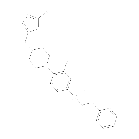 CC(=O)Nc1ncc(CN2CCN(c3ccc(S(O)(O)NCc4ccccn4)cc3[N+](=O)[O-])CC2)s1